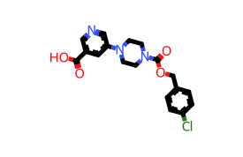 O=C(O)c1cncc(N2CCN(C(=O)OCc3ccc(Cl)cc3)CC2)c1